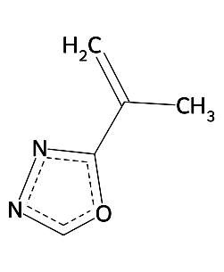 C=C(C)c1nnco1